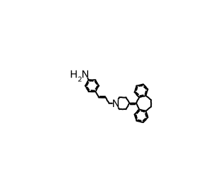 Nc1ccc(C=CCN2CCC(=C3c4ccccc4CCc4ccccc43)CC2)cc1